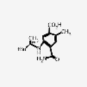 Cc1cc(C(N)=O)c(N[C@H](C)C(C)(C)C)cc1C(=O)O